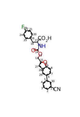 N#Cc1cccc(-c2ccc3oc(COC(=O)NC(Cc4ccc(F)cc4)C(=O)O)cc3c2)c1